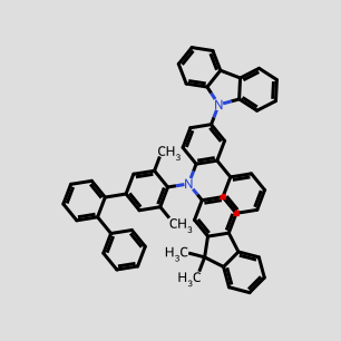 Cc1cc(-c2ccccc2-c2ccccc2)cc(C)c1N(c1ccc2c(c1)C(C)(C)c1ccccc1-2)c1ccc(-n2c3ccccc3c3ccccc32)cc1-c1ccccc1